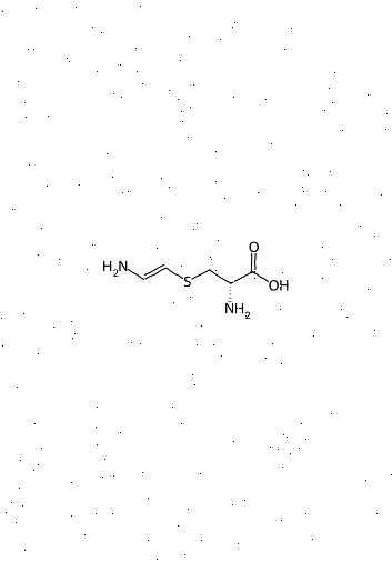 NC=CSC[C@@H](N)C(=O)O